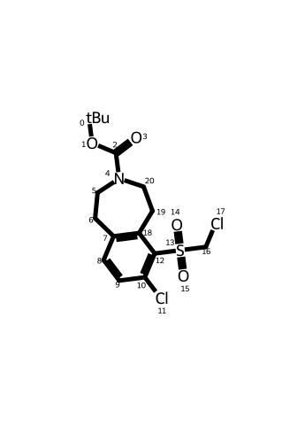 CC(C)(C)OC(=O)N1CCc2ccc(Cl)c(S(=O)(=O)CCl)c2CC1